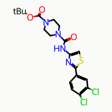 CC(C)(C)OC(=O)N1CCN(C(=O)Nc2csc(-c3ccc(Cl)c(Cl)c3)n2)CC1